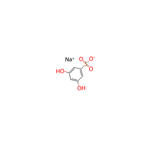 O=S(=O)([O-])c1cc(O)cc(O)c1.[Na+]